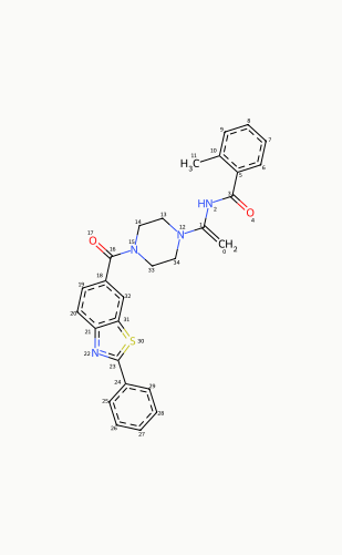 C=C(NC(=O)c1ccccc1C)N1CCN(C(=O)c2ccc3nc(-c4ccccc4)sc3c2)CC1